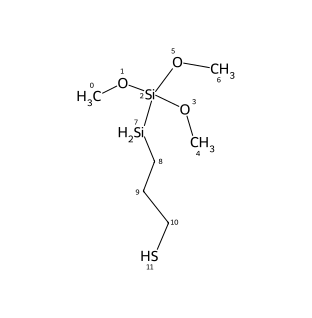 CO[Si](OC)(OC)[SiH2]CCCS